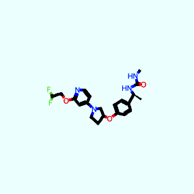 CNC(=O)N[C@@H](C)c1ccc(OC2CCN(c3ccnc(OCC(F)F)c3)C2)cc1